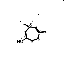 CC1=CC(C)(C)CC(O)CC1